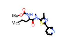 CSCCC(NC(=O)OC(C)(C)C)C(=O)N(C)c1sc(-c2cccnc2)nc1C